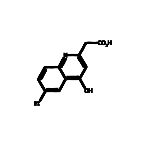 CCc1ccc2nc(CC(=O)O)cc(O)c2c1